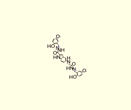 COc1ccc(O)c(/C=N/NC(=O)CNC2=CC3C=C(C(=O)N/N=C/c4cc(OC)ccc4O)NC3C=C2)c1